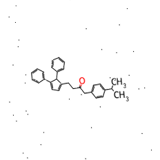 CC(C)c1ccc(CC(=O)CCC2=CC=C(c3ccccc3)C2c2ccccc2)cc1